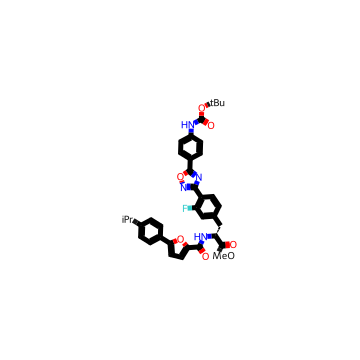 COC(=O)[C@@H](Cc1ccc(-c2noc(-c3ccc(NC(=O)OC(C)(C)C)cc3)n2)c(F)c1)NC(=O)c1ccc(-c2ccc(C(C)C)cc2)o1